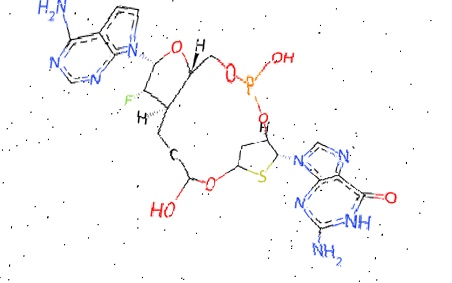 Nc1nc2c(ncn2[C@@H]2SC3C[C@H]2OP(O)OC[C@H]2O[C@@H](n4ccc5c(N)ncnc54)[C@@H](F)[C@@H]2CCC(O)O3)c(=O)[nH]1